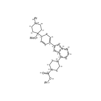 COC1(C2C=CC(c3cc4c(N5CCN(C(=O)OC(C)C)CC5)ccnn4c3)=CC2)CCN(C(C)C)CC1